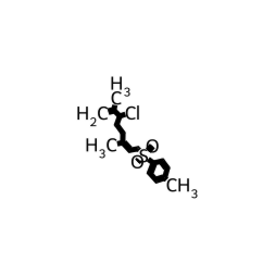 C=C(C)C(Cl)CCC(C)=CCS(=O)(=O)c1ccc(C)cc1